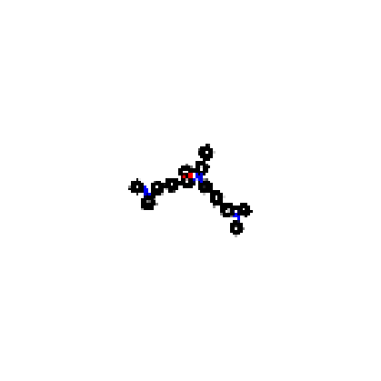 C1=CC(c2ccc(-c3ccc4c(c3)c3ccccc3n4-c3ccccc3)cc2)CC=C1N(c1ccc(-c2ccc(-c3ccc4c(c3)c3ccccc3n4-c3ccccc3)cc2)cc1)c1ccc(-c2ccccc2)cc1-c1ccccc1